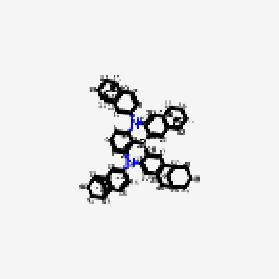 c1cc2c3c(c1)N(c1ccc4c(c1)C1CCC4CC1)c1cc4c(cc1B3c1cc3c(cc1N2c1ccc2c(c1)C1CCC2CC1)CC1CCCC3C1)C1CCC4CC1